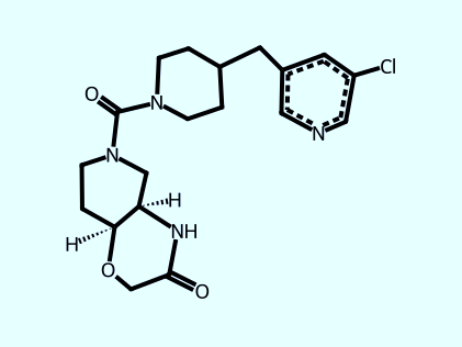 O=C1CO[C@H]2CCN(C(=O)N3CCC(Cc4cncc(Cl)c4)CC3)C[C@H]2N1